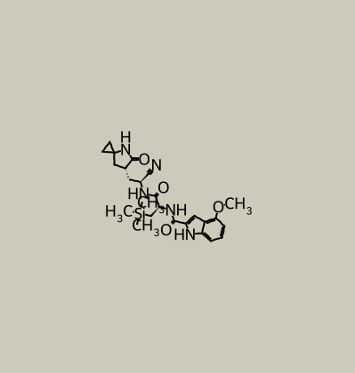 COc1cccc2[nH]c(C(=O)N[C@@H](C[Si](C)(C)C)C(=O)N[C@H](C#N)C[C@@H]3CC4(CC4)NC3=O)cc12